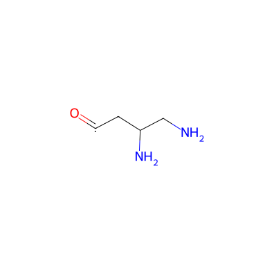 NCC(N)C[C]=O